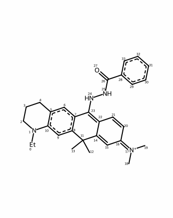 CCN1CCCc2cc3c(cc21)C(C)(C)C1=CC(=[N+](C)C)C=CC1=C3NNC(=O)c1ccccc1